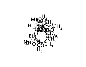 CC[C@H]1OC(=O)[C@H](C)[C@@H](O[C@H]2C[C@@](C)(OC)[C@@]3(CO3)[C@H](C)O2)[C@H](C)[C@@H](O[C@@H]2O[C@H](C)C[C@H](N(C)C)[C@H]2OC(C)=O)[C@@](C)(OC)C[C@@H](C)C(=O)/C(C)=C/[C@]1(C)OC(=O)n1ccnc1